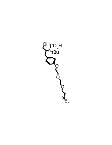 CCOCCOCCOCCOc1ccc(CC(CO)N(C(=O)O)C(C)(C)C)cc1